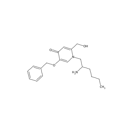 CCCCC(N)Cn1cc(OCc2ccccc2)c(=O)cc1CO